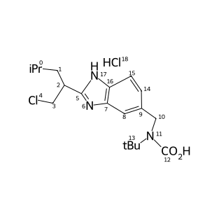 CC(C)CC(CCl)c1nc2cc(CN(C(=O)O)C(C)(C)C)ccc2[nH]1.Cl